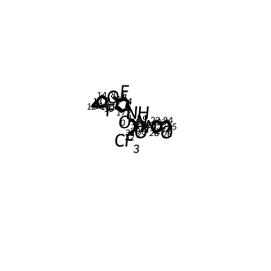 O=C(Nc1cc(F)c(OC2CC3CC3C2)c(F)c1)c1nc(N2CC3CCOC3C2)oc1CC(F)(F)F